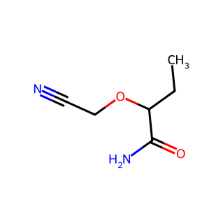 CCC(OCC#N)C(N)=O